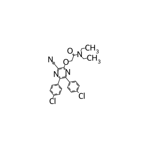 CCN(CC)C(=O)COc1nc(-c2ccc(Cl)cc2)c(-c2ccc(Cl)cc2)nc1C#N